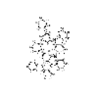 Oc1c(N(c2ccccc2)c2ccccc2)cccc1N(c1ccccc1)c1ccc2c3ccccc3n(-c3cc(-c4ccccc4)cc(-c4ccccc4)c3)c2c1